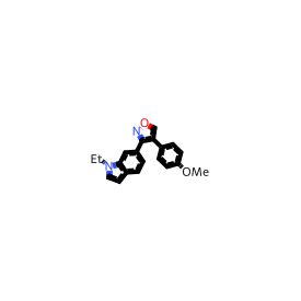 CCn1ccc2ccc(-c3nocc3-c3ccc(OC)cc3)cc21